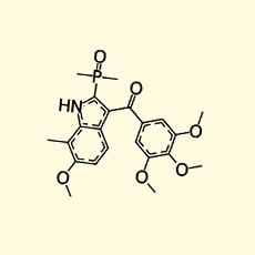 COc1cc(C(=O)c2c(P(C)(C)=O)[nH]c3c(C)c(OC)ccc23)cc(OC)c1OC